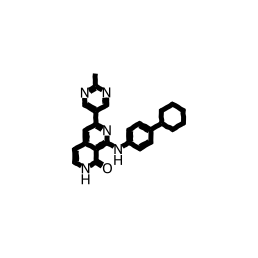 Cc1ncc(-c2cc3cc[nH]c(=O)c3c(Nc3ccc(C4CCCCC4)cc3)n2)cn1